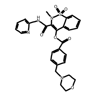 CN1C(C(=O)Nc2ccccn2)=C(OC(=O)c2ccc(CN3CCOCC3)cc2)c2ccccc2S1(=O)=O